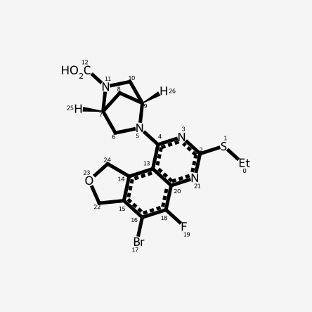 CCSc1nc(N2C[C@H]3C[C@@H]2CN3C(=O)O)c2c3c(c(Br)c(F)c2n1)COC3